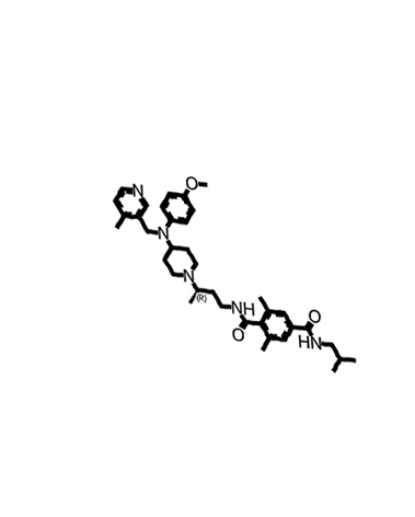 COc1ccc(N(Cc2cnccc2C)C2CCN([C@H](C)CCNC(=O)c3c(C)cc(C(=O)NCC(C)C)cc3C)CC2)cc1